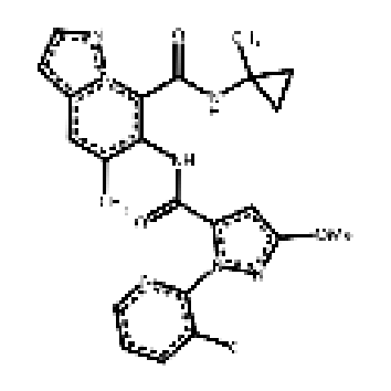 COc1cc(C(=O)Nc2c(C)cc3ccnn3c2C(=O)NC2(C)CC2)n(-c2ncccc2Cl)n1